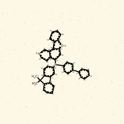 CC1(C)c2ccccc2-c2cc(N(c3ccc(-c4ccccc4)cc3)c3cc4oc5ccccc5c4c4cnccc34)ccc21